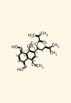 C=C(C)C(=O)OC(CC=C(C)C)c1cc(OC)c2c(c1OC)/C(=N/O)C=C/C2=N\O